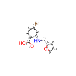 O=C(O)c1ccc(Br)cc1NCc1ccco1